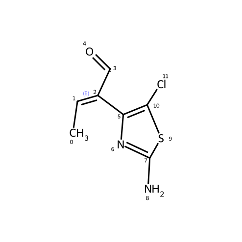 C/C=C(/[C]=O)c1nc(N)sc1Cl